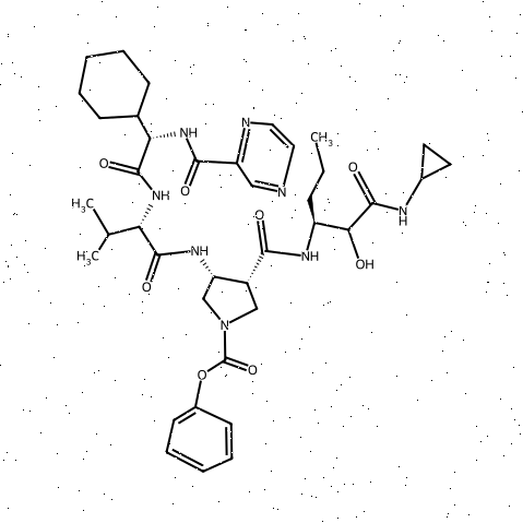 CCC[C@H](NC(=O)[C@@H]1CN(C(=O)Oc2ccccc2)C[C@@H]1NC(=O)[C@@H](NC(=O)[C@@H](NC(=O)c1cnccn1)C1CCCCC1)C(C)C)C(O)C(=O)NC1CC1